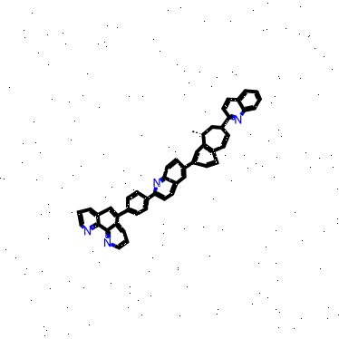 C[C@@H]1CC(c2ccc3ccccc3n2)C=Cc2ccc(-c3ccc4nc(-c5ccc(-c6cc7cccnc7c7ncccc67)cc5)ccc4c3)cc21